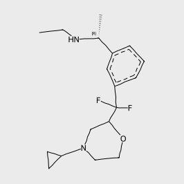 CCN[C@H](C)c1cccc(C(F)(F)C2CN(C3CC3)CCO2)c1